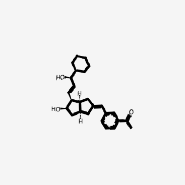 CC(=O)c1cccc(C=C2C[C@H]3C[C@@H](O)[C@@H](C=C[C@@H](O)C4CCCCC4)[C@H]3C2)c1